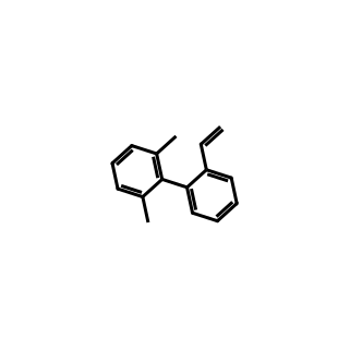 C=Cc1ccccc1-c1c(C)cccc1C